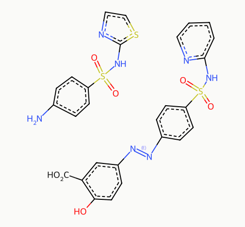 Nc1ccc(S(=O)(=O)Nc2nccs2)cc1.O=C(O)c1cc(/N=N/c2ccc(S(=O)(=O)Nc3ccccn3)cc2)ccc1O